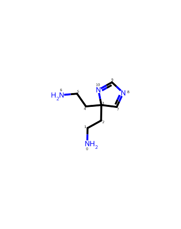 NCCC1(CCN)C=NC=N1